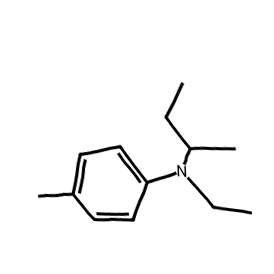 CCC(C)N(CC)c1ccc(C)cc1